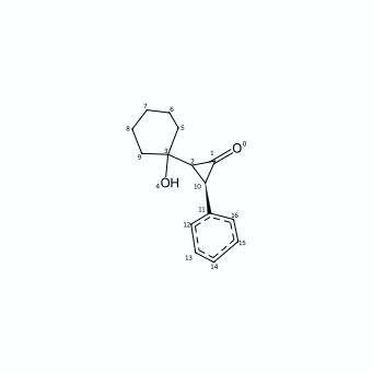 O=C1C(C2(O)CCCCC2)[C@@H]1c1ccccc1